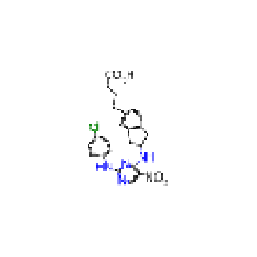 O=C(O)CCCc1ccc2c(c1)CC(Nc1nc(Nc3ccc(Cl)cc3)ncc1[N+](=O)[O-])C2